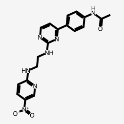 CC(=O)Nc1ccc(-c2ccnc(NCCNc3ccc([N+](=O)[O-])cn3)n2)cc1